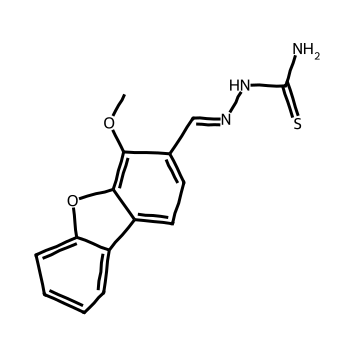 COc1c(/C=N/NC(N)=S)ccc2c1oc1ccccc12